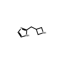 c1c[nH]c(CC2CNC2)n1